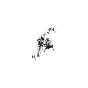 CCCCCCCCCC(=O)OC1C2OC3(OCC45CC6C(C)CCC6C6(C=O)CC4C=C(C(C)C)C65C(=O)O)OC2OC1C3OC(=O)CCCCCCCCC